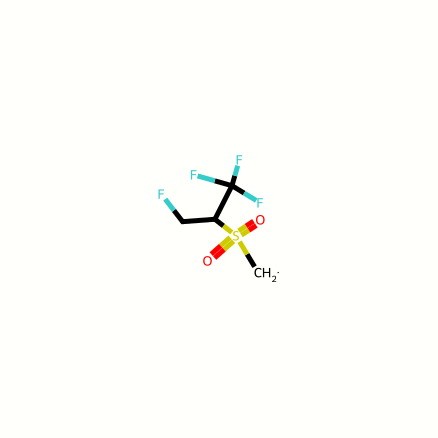 [CH2]S(=O)(=O)C(CF)C(F)(F)F